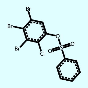 O=S(=O)(Oc1cc(Br)c(Br)c(Br)c1Cl)c1ccccc1